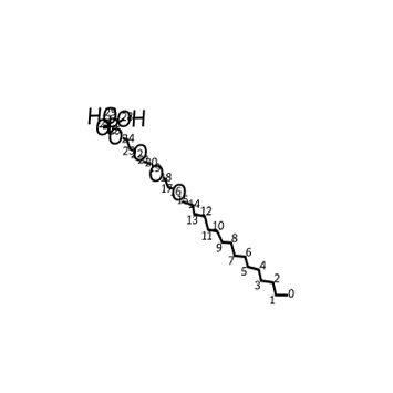 CCCCCCCCCCCCCCCCOCCOCCOCCOP(=O)(O)O